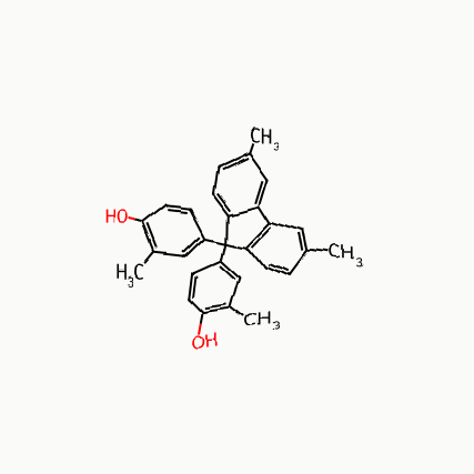 Cc1ccc2c(c1)-c1cc(C)ccc1C2(c1ccc(O)c(C)c1)c1ccc(O)c(C)c1